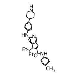 CCC(CC)C1C(C(=O)Nc2ccc(C)cc2)=Cc2cnc(Nc3ccc(C4CCNCC4)cc3)nc21